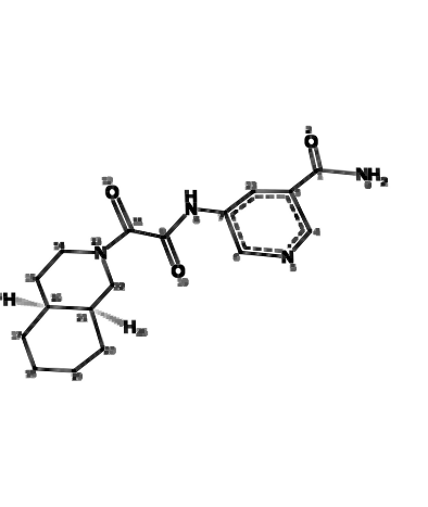 NC(=O)c1cncc(NC(=O)C(=O)N2CC[C@@H]3CCCC[C@@H]3C2)c1